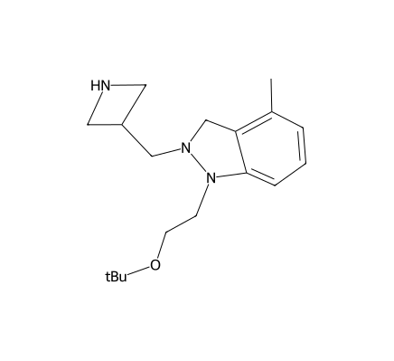 Cc1cccc2c1CN(CC1CNC1)N2CCOC(C)(C)C